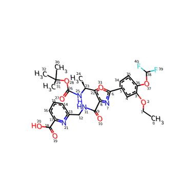 CCOc1cc(-c2nc(C(=O)NCc3cccc(C(=O)O)n3)c([C@H](C)NC(=O)OC(C)(C)C)o2)ccc1OC(F)F